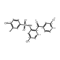 Cc1cc(S(=O)(=O)Nc2cc(Cl)cnc2C(=O)c2ccnc(Cl)c2)ccc1Cl